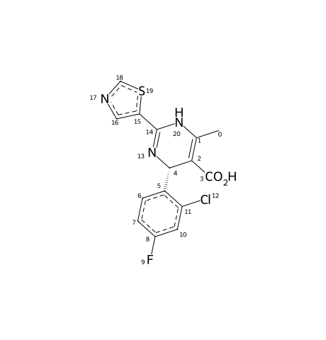 CC1=C(C(=O)O)[C@H](c2ccc(F)cc2Cl)N=C(c2cncs2)N1